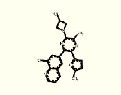 Cc1ccc(-c2nc(N)c(N3CC(N)C3)nc2-c2cc(Cl)c3ncccc3c2)o1